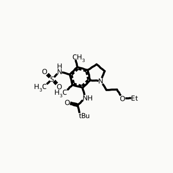 CCOCCN1CCc2c(C)c(NS(C)(=O)=O)c(C)c(NC(=O)C(C)(C)C)c21